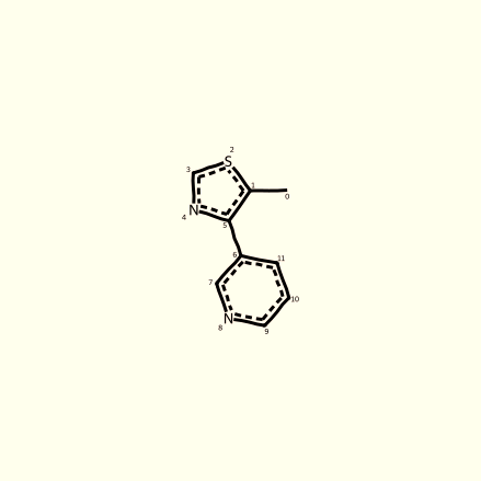 Cc1scnc1-c1[c]nccc1